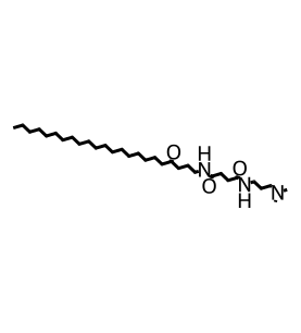 CCCCCCCCCCCCCCCCCCCC(=O)CCCNC(=O)CCC(=O)NCCCN(C)C